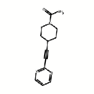 BC(=O)N1CCC(C#Cc2ncccn2)CC1